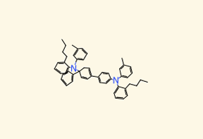 CCCCc1ccccc1N(c1ccc(C2=CCC(c3ccccc3)(N(c3cccc(C)c3)c3ccccc3CCCC)C=C2)cc1)c1cccc(C)c1